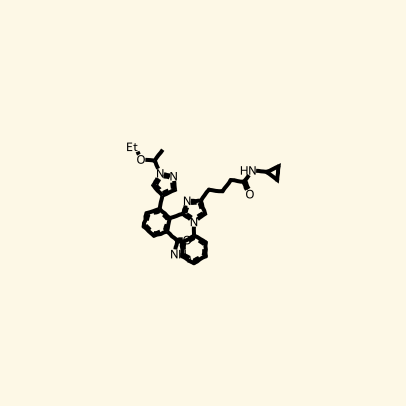 CCOC(C)n1cc(-c2cccc(C(N)=O)c2-c2nc(CCCC(=O)NC3CC3)cn2-c2ccccc2)cn1